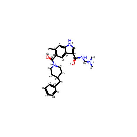 Cc1cc2[nH]cc(C(=O)NCN(C)C)c2cc1C(=O)N1CCC(Cc2ccccc2)CC1